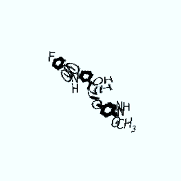 COc1n[nH]c2cc(OCCNC[C@H](O)c3cccc(NS(=O)(=O)c4ccc(F)cc4)c3)ccc12